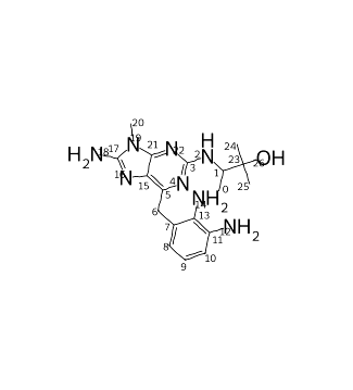 CC(Nc1nc(Cc2cccc(N)c2N)c2nc(N)n(C)c2n1)C(C)(C)O